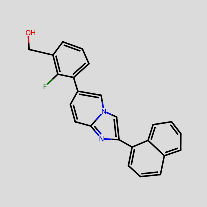 OCc1cccc(-c2ccc3nc(-c4cccc5ccccc45)cn3c2)c1F